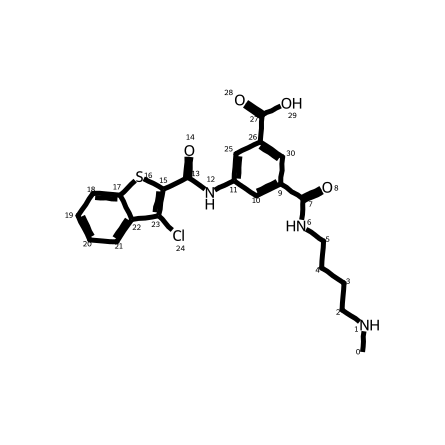 CNCCCCNC(=O)c1cc(NC(=O)c2sc3ccccc3c2Cl)cc(C(=O)O)c1